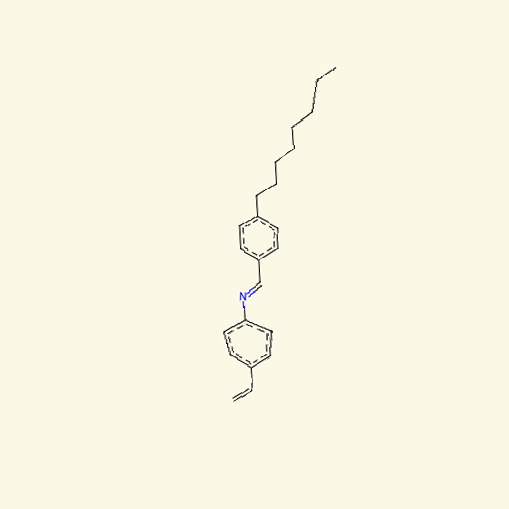 C=Cc1ccc(/N=C/c2ccc(CCCCCCCC)cc2)cc1